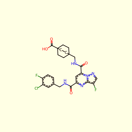 O=C(NCc1ccc(F)c(Cl)c1)c1cc(C(=O)NCC23CCC(C(=O)O)(CC2)CC3)n2ncc(F)c2n1